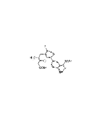 CNc1ncnc2ccc(-c3ccc(F)c(CN(C)C(=O)COC)c3)cc12